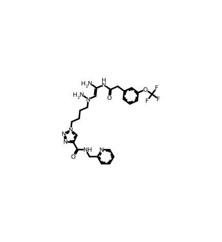 N/C(=C\N(N)CCCCn1cc(C(=O)NCc2ccccn2)nn1)NC(=O)Cc1cccc(OC(F)(F)F)c1